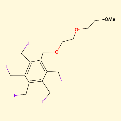 COCCOCCOCc1c(CI)c(CI)c(CI)c(CI)c1CI